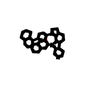 c1ccc2ncc(-n3c4cnccc4c4ccc5ccn(-c6ccc(-c7cccc8ccccc78)cc6)c5c43)cc2c1